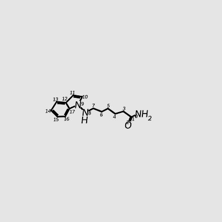 NC(=O)CCCCCNn1ccc2ccccc21